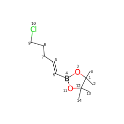 CC1(C)OB(C=CCCCCl)OC1(C)C